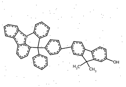 CC1(C)c2cc(O)ccc2-c2ccc(-c3ccc(C4(c5ccccc5)c5ccccc5-n5c6ccccc6c6cccc4c65)cc3)cc21